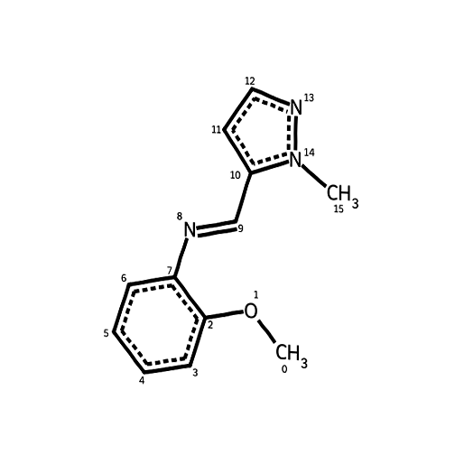 COc1ccccc1N=Cc1ccnn1C